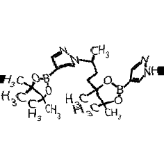 CC(CCC1(C)OB(c2cn[nH]c2)OC1(C)C)n1cc(B2OC(C)(C)C(C)(C)O2)cn1